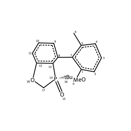 COc1cccc(C)c1-c1cccc2c1[P@](=O)(C(C)(C)C)CO2